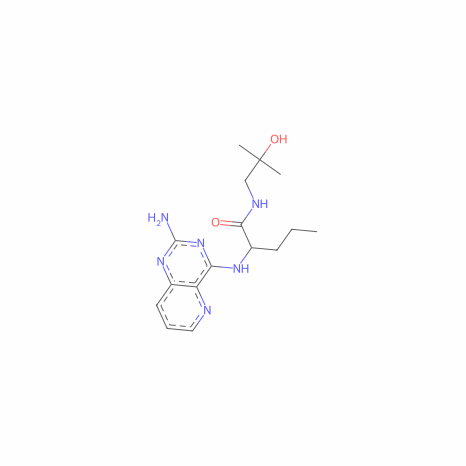 CCCC(Nc1nc(N)nc2cccnc12)C(=O)NCC(C)(C)O